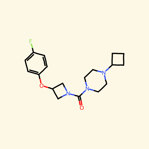 O=C(N1CCN(C2CCC2)CC1)N1CC(Oc2ccc(F)cc2)C1